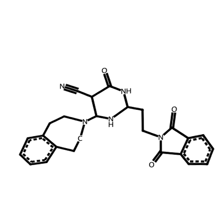 N#CC1C(=O)NC(CCN2C(=O)c3ccccc3C2=O)NC1N1CCc2ccccc2CC1